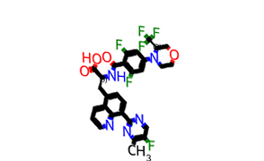 Cc1nc(-c2ccc(C[C@H](NC(=O)c3c(F)cc(N4CCOC[C@@H]4C(F)(F)F)cc3F)C(=O)O)c3cccnc23)ncc1F